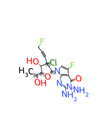 C[C@@H](O)[C@H]1O[C@@H](n2cc(F)c3c(=O)n(N)c(N)nc32)[C@@](Cl)(C#CCF)C1O